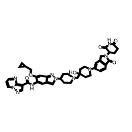 O=C1CCC(N2Cc3cc(N4CCC(O)(CN5CCC(n6cc7cc(NC(=O)c8cnn9cccnc89)c(OCC8CC8)cc7n6)CC5)CC4)ccc3C2=O)C(=O)N1